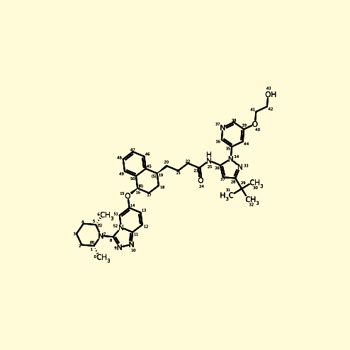 C[C@@H]1CCC[C@H](C)N1c1nnc2ccc(O[C@@H]3CC[C@H](CCCC(=O)Nc4cc(C(C)(C)C)nn4-c4cncc(OCCO)c4)c4ccccc43)cn12